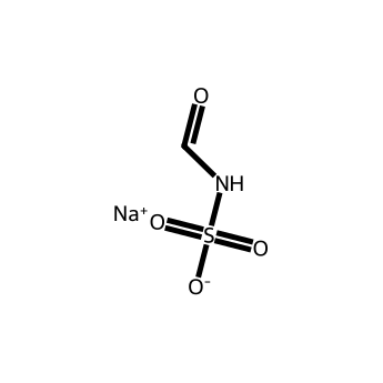 O=CNS(=O)(=O)[O-].[Na+]